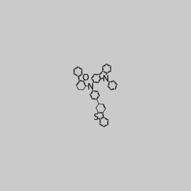 C1=CC(c2ccc(N(C3=c4oc5ccccc5c4=CCC3)c3ccc4c5ccccc5n(-c5ccccc5)c4c3)cc2)Cc2sc3ccccc3c21